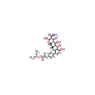 CC(C)COC(=O)NCc1ccc(-c2ccc(O)c3c2C[C@H]2C[C@H]4CC(O)=C(C(N)=O)C(=O)C4C(O)=C2C3=O)cc1